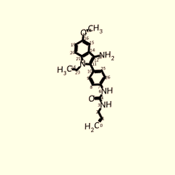 C=CCNC(=O)Nc1ccc(-c2c(N)c3cc(OC)ccc3n2CC)cc1